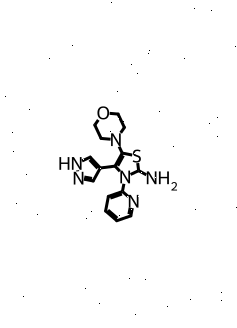 NC1SC(N2CCOCC2)=C(c2cn[nH]c2)N1c1ccccn1